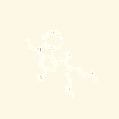 CCn1c(CN)[n+](CC)c2cc(Br)cc(C(=O)N(CCOC)CCOC)c21